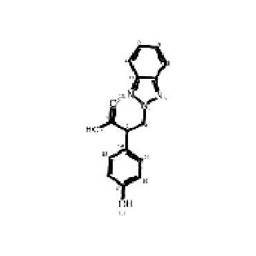 O=C(O)C(Cn1nc2ccccc2n1)c1ccc(O)cc1